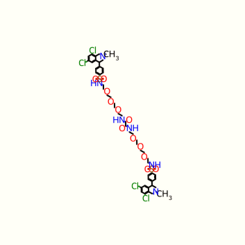 CN1Cc2c(Cl)cc(Cl)cc2C(c2ccc(S(=O)(=O)NCCOCCOCCOCCNC(=O)C(=O)NCCOCCOCCOCCNS(=O)(=O)c3ccc(C4CN(C)Cc5c(Cl)cc(Cl)cc54)cc3)cc2)C1